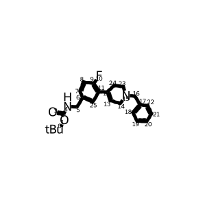 CC(C)(C)OC(=O)NCc1ccc(F)c(C2=CCN(Cc3ccccc3)CC2)c1